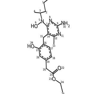 CCCC(C)N(O)c1nc(N)nc(C)c1Cc1ccc(CC(=O)OCC)cc1O